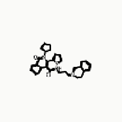 O=C(NCCCN1CCc2ccccc2C1)C1c2ccccc2C(=O)N(C2CCCC2)C1c1cccs1